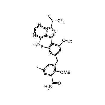 CCOc1cc(Cc2cc(F)cc(C(N)=O)c2OC)cc(F)c1-c1nc([C@H](C)C(F)(F)F)n2ncnc(N)c12